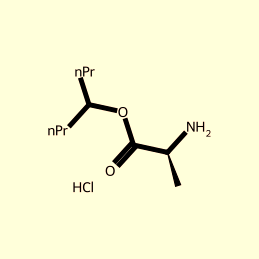 CCCC(CCC)OC(=O)[C@H](C)N.Cl